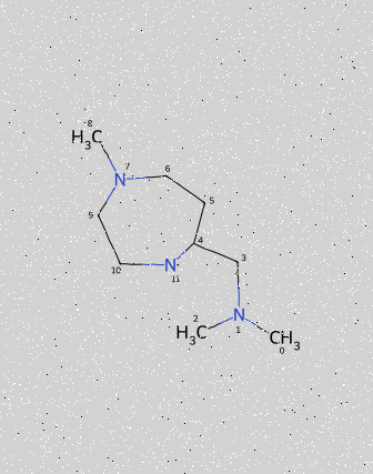 CN(C)CC1CCN(C)CC[N]1